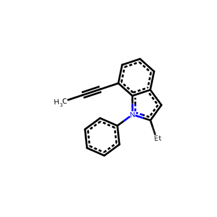 CC#Cc1cccc2cc(CC)n(-c3ccccc3)c12